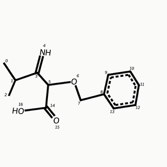 CC(C)C(=N)C(OCc1ccccc1)C(=O)O